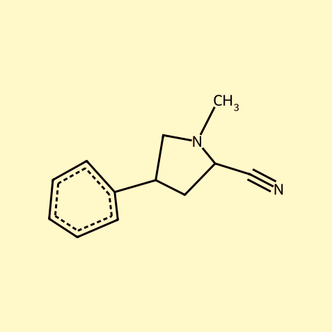 CN1CC(c2ccccc2)CC1C#N